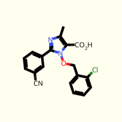 Cc1nc(-c2cccc(C#N)c2)n(OCc2ccccc2Cl)c1C(=O)O